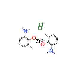 Cc1cccc(N(C)C)c1[O][Zr+2][O]c1c(C)cccc1N(C)C.[Cl-].[Cl-]